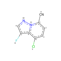 N#Cc1ccc(Cl)c2c(F)cnn12